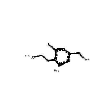 Cl.NCc1ccc(CCC(=O)O)c(Cl)c1